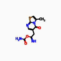 Cc1csc2ncc(CC(=N)OC(N)=O)c(=O)n12